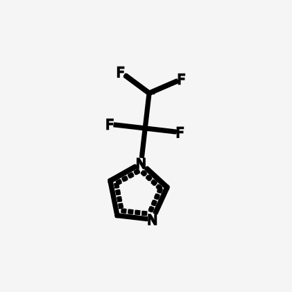 F[C](F)C(F)(F)n1ccnc1